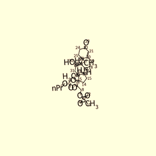 CCCOC(=O)O[C@]1(C(=O)COS(C)(=O)=O)CC[C@H]2[C@@H]3CCC4=CC(=O)CC[C@]4(C)[C@H]3[C@@H](O)C[C@@]21C